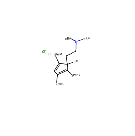 CCCCN(CCCC)CC[C]1([Ti+2])C(C(C)CCC)=CC(C(C)CCC)=C1C(C)CCC.[Cl-].[Cl-]